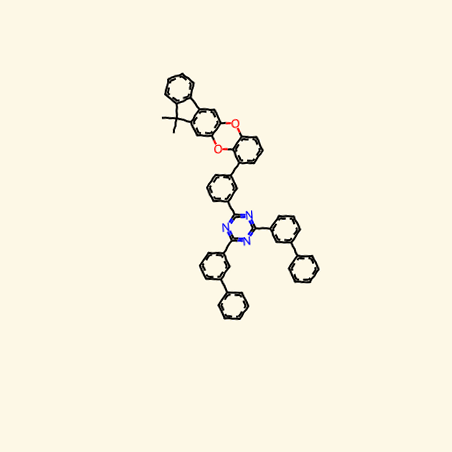 CC1(C)c2ccccc2-c2cc3c(cc21)Oc1c(cccc1-c1cccc(-c2nc(-c4cccc(-c5ccccc5)c4)nc(-c4cccc(-c5ccccc5)c4)n2)c1)O3